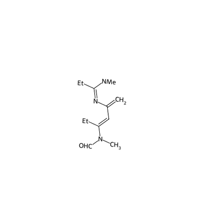 C=C(/C=C(\CC)N(C)C=O)/N=C(/CC)NC